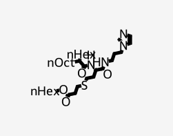 CCCCCCCCC(CCCCCC)C(=O)NC(CCSCCC(=O)OCCCCCC)C(=O)NCCCn1ccnc1